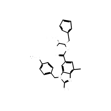 CCCc1nc2c(C)cc(C(=O)N[C@H](Cc3ccccc3)[C@@H](O)C(=O)O)cc2n1Cc1ccc(OC)cc1